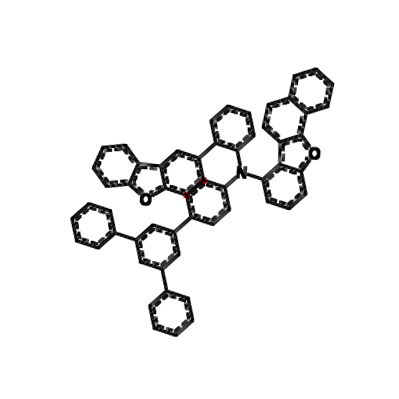 c1ccc(-c2cc(-c3ccccc3)cc(-c3ccc(N(c4ccccc4-c4ccc5oc6ccccc6c5c4)c4cccc5oc6c7ccccc7ccc6c45)cc3)c2)cc1